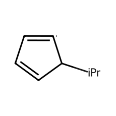 CC(C)C1[C]=CC=C1